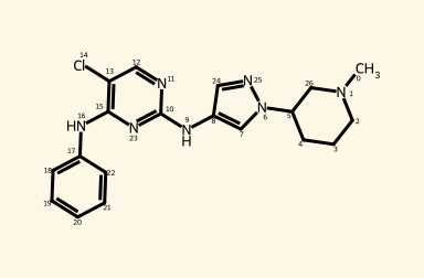 CN1CCCC(n2cc(Nc3ncc(Cl)c(Nc4ccccc4)n3)cn2)C1